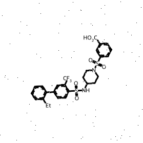 CCc1ccccc1-c1ccc(S(=O)(=O)NC2CCN(S(=O)(=O)c3cccc(C(=O)O)c3)CC2)c(C(F)(F)F)c1